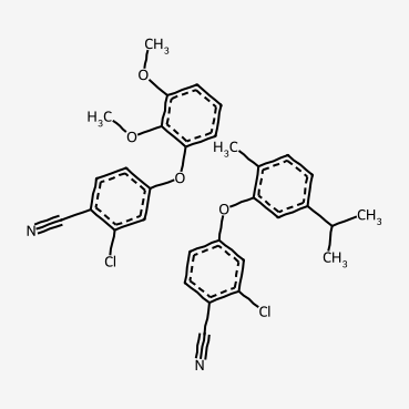 COc1cccc(Oc2ccc(C#N)c(Cl)c2)c1OC.Cc1ccc(C(C)C)cc1Oc1ccc(C#N)c(Cl)c1